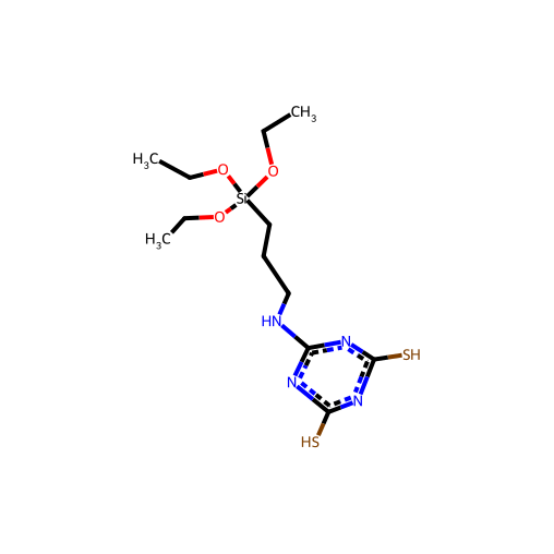 CCO[Si](CCCNc1nc(S)nc(S)n1)(OCC)OCC